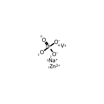 O=P([O-])([O-])[O-].[Na+].[V].[Zn+2]